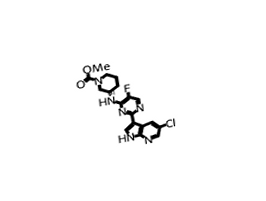 COC(=O)N1CCC[C@H](Nc2nc(-c3c[nH]c4ncc(Cl)cc34)ncc2F)C1